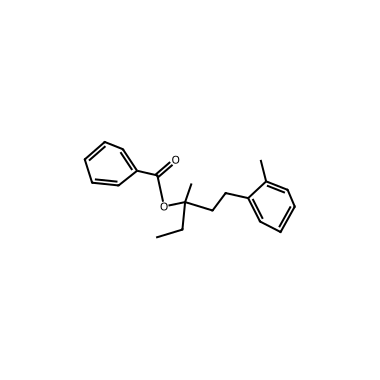 CCC(C)(CCc1ccccc1C)OC(=O)c1ccccc1